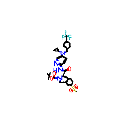 CC(C)(C)OC(=O)N1Cc2cc(S(C)(=O)=O)ccc2[C@@H]1C(=O)Nc1ccc(N(Cc2ccc(C(F)(F)F)cc2)C2CC2)cn1